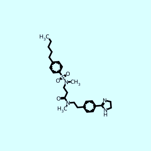 CCCCCc1ccc(S(=O)(=O)N(C)CCC(=O)N(C)CCc2ccc(C3=NCCN3)cc2)cc1